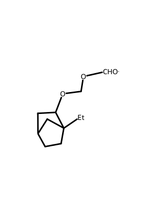 CCC12CCC(CC1OCO[C]=O)C2